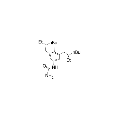 CCCCC(CC)Cc1cc(NC(N)=O)cc(CC(CC)CCCC)c1C